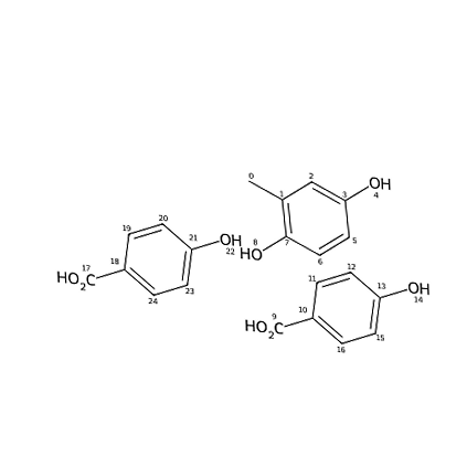 Cc1cc(O)ccc1O.O=C(O)c1ccc(O)cc1.O=C(O)c1ccc(O)cc1